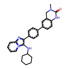 CN1Cc2cc(-c3ccc(-c4nc5ccccn5c4NC4CCCCC4)cc3)ccc2NC1=O